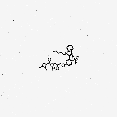 CCCCCn1c(-c2cc(OCC(O)COC(=O)C3CC(C)C3C)ccc2C(F)(F)F)cc2ccccc21